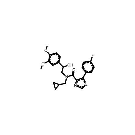 COc1ccc(C(O)CN(CC2CC2)C(=O)c2ncsc2-c2ccc(F)cc2)cc1OC